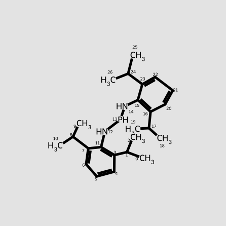 CC(C)c1cccc(C(C)C)c1NPNc1c(C(C)C)cccc1C(C)C